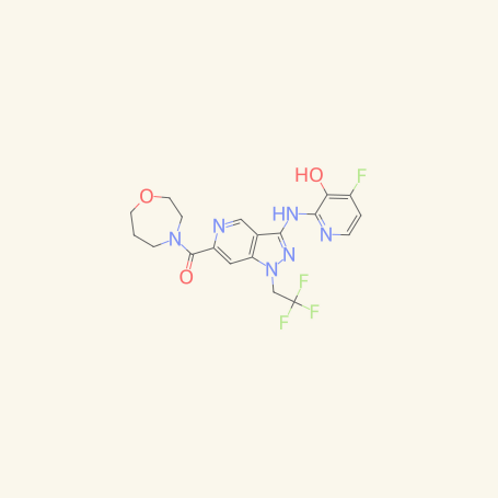 O=C(c1cc2c(cn1)c(Nc1nccc(F)c1O)nn2CC(F)(F)F)N1CCCOCC1